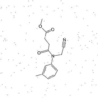 COC(=O)CCC(=O)N(CC#N)c1cccc(C)c1